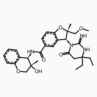 CCC1(CC)CC(=O)N([C@H]2c3cc(C(=O)N[C@@H]4c5ccccc5OC[C@@]4(C)O)ccc3O[C@]2(C)COC)C(=N)N1